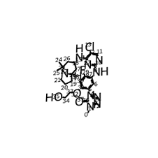 Cn1nnn(-c2cc(Nc3ncc(Cl)c(N[C@@H]4C[C@@H]5CCCN5C(C)(C)C4)n3)c(F)cc2OCCO)c1=O